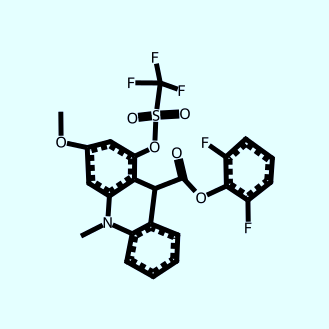 COc1cc(OS(=O)(=O)C(F)(F)F)c2c(c1)N(C)c1ccccc1C2C(=O)Oc1c(F)cccc1F